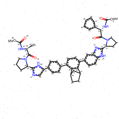 COC(=O)N[C@H](C(=O)N1CCC[C@H]1c1nc2cc(-c3ccc(-c4ccc(-c5cnc([C@H]6CCCN6C(=O)[C@@H](NC(=O)OC)C(C)C)[nH]5)cc4)c4c3C3CCC4C3)ccc2[nH]1)c1ccccc1